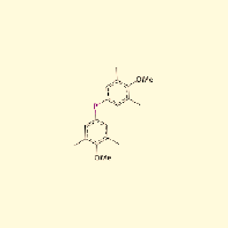 COc1c(C)cc([P]c2cc(C)c(OC)c(C)c2)cc1C